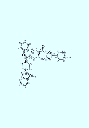 COc1cc[c]cc1CC1(O)CCN(C(=O)[C@@H]2CCN(C(=O)c3sc(-c4ccc(C)nc4)nc3C)C[C@H]2c2ccccc2)CC1